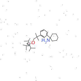 CC(C)[Si](OCC(C)(C)c1cccc(C2(N)CCCCC2)c1)(C(C)C)C(C)C